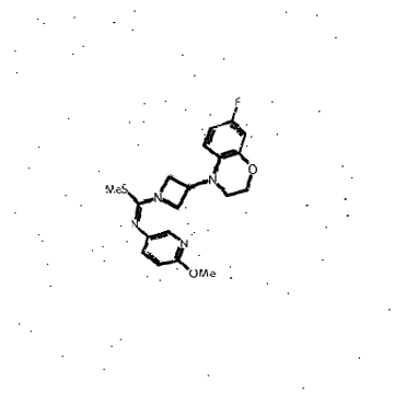 COc1ccc(/N=C(/SC)N2CC(N3CCOc4cc(F)ccc43)C2)cn1